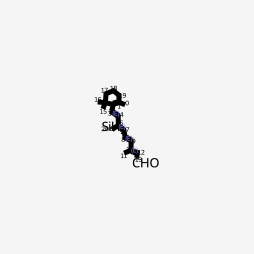 CC1=C(/C=C/C(C)=C/C=C/C(C)=C/C=O)C(C)(C)CCC1.[SiH4]